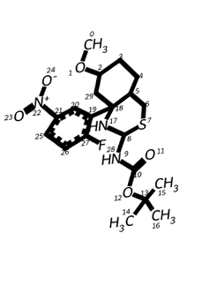 COC1CCC2CSC(NC(=O)OC(C)(C)C)NC2(c2cc([N+](=O)[O-])ccc2F)C1